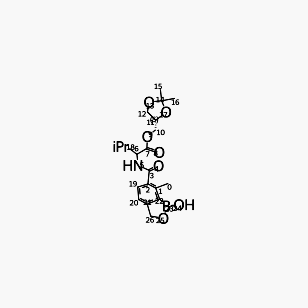 Cc1c(C(=O)NC(C(=O)OC[C@@H]2COC(C)(C)O2)C(C)C)ccc2c1B(O)OC2